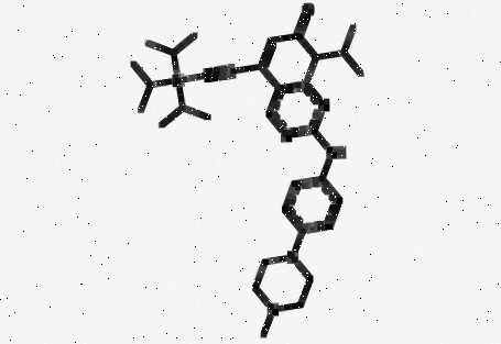 CC(C)C1C(=O)C=C(C#C[Si](C(C)C)(C(C)C)C(C)C)c2cnc(Nc3ccc(N4CCN(C)CC4)cc3)nc21